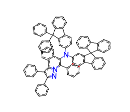 c1ccc(-c2nn3c(-c4ccccc4)c(N(c4ccc5c(c4)C(c4ccccc4)(c4ccccc4)c4ccccc4-5)c4ccc5c(c4)C4(c6ccccc6-c6ccccc64)c4ccccc4-5)c4ccccc4c3c2-c2ccccc2)cc1